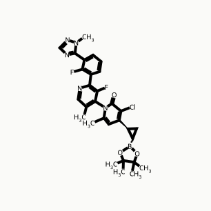 Cc1cnc(-c2cccc(-c3ncnn3C)c2F)c(F)c1-n1c(C)cc([C@H]2C[C@@H]2B2OC(C)(C)C(C)(C)O2)c(Cl)c1=O